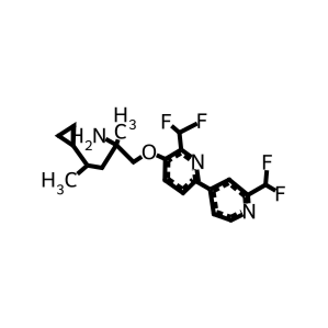 CC(CC(C)(N)COc1ccc(-c2ccnc(C(F)F)c2)nc1C(F)F)C1CC1